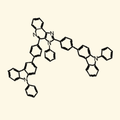 c1ccc(-n2c(-c3ccc(-c4ccc5c(c4)c4ccccc4n5-c4ccccc4)cc3)nc3c4ccccc4nc(-c4ccc(-c5ccc6c(c5)c5ccccc5n6-c5ccccc5)cc4)c32)cc1